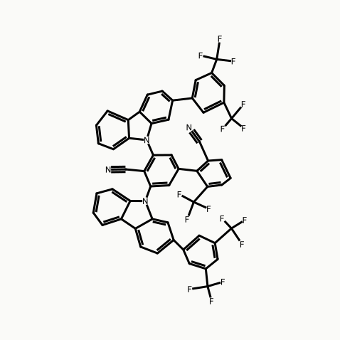 N#Cc1cccc(C(F)(F)F)c1-c1cc(-n2c3ccccc3c3ccc(-c4cc(C(F)(F)F)cc(C(F)(F)F)c4)cc32)c(C#N)c(-n2c3ccccc3c3ccc(-c4cc(C(F)(F)F)cc(C(F)(F)F)c4)cc32)c1